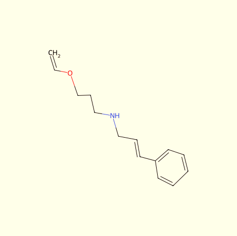 C=COCCCNC/C=C/c1ccccc1